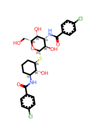 O=C(N[C@H]1[C@@H](O)[C@@H](CO)O[C@@H](S[C@@H]2CCC[C@H](NC(=O)c3ccc(Cl)cc3)[C@H]2O)[C@@H]1O)c1ccc(Cl)cc1